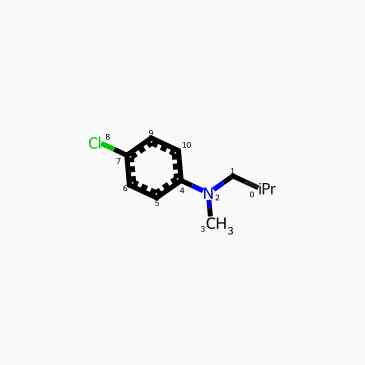 CC(C)CN(C)c1ccc(Cl)cc1